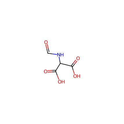 O=CNC(C(=O)O)C(=O)O